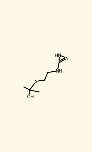 CC(C)(O)SCCNC1=NN1